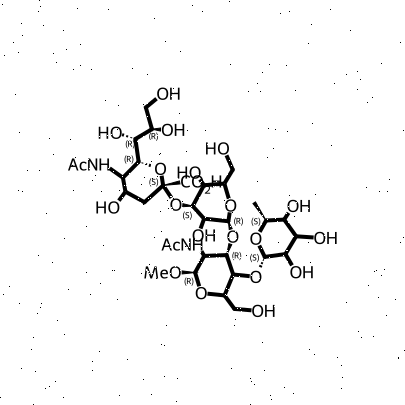 CO[C@@H]1OC(CO)C(O[C@@H]2O[C@@H](C)C(O)C(O)C2O)[C@H](O[C@@H]2OC(CO)C(O)[C@H](O[C@]3(C(=O)O)CC(O)C(NC(C)=O)[C@H]([C@H](O)[C@H](O)CO)O3)C2O)C1NC(C)=O